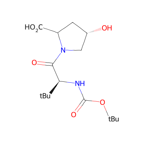 CC(C)(C)OC(=O)N[C@H](C(=O)N1C[C@@H](O)CC1C(=O)O)C(C)(C)C